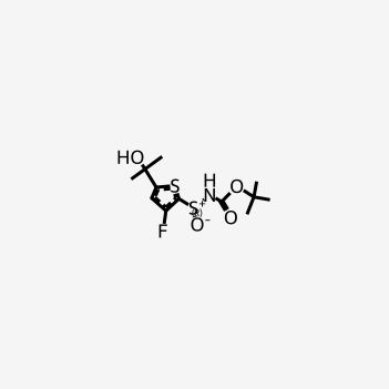 CC(C)(C)OC(=O)N[S@@+]([O-])c1sc(C(C)(C)O)cc1F